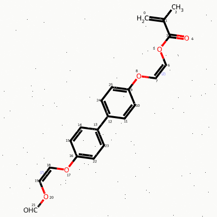 C=C(C)C(=O)O/C=C\Oc1ccc(-c2ccc(O/C=C\OC=O)cc2)cc1